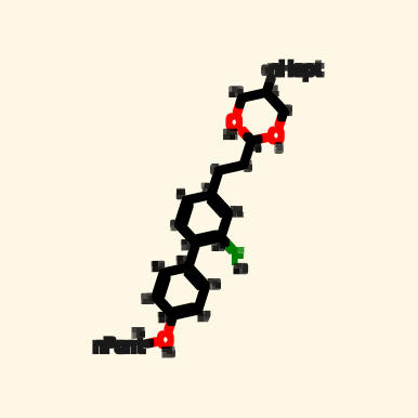 CCCCCCCC1COC(CCc2ccc(-c3ccc(OCCCCC)cc3)c(F)c2)OC1